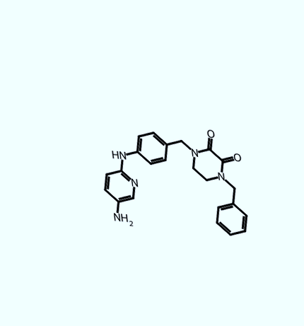 Nc1ccc(Nc2ccc(CN3CCN(Cc4ccccc4)C(=O)C3=O)cc2)nc1